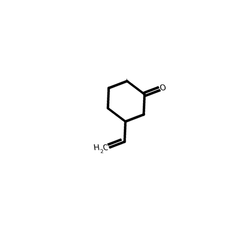 C=CC1CC[CH]C(=O)C1